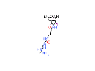 CCC(Cc1c(I)cc(I)c(NC(=O)CCCCCNC(=O)CNCCNC(C)N)c1I)C(=O)O